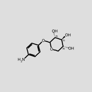 Nc1ccc(OC2OC[C@@H](O)[C@H](O)[C@H]2O)cc1